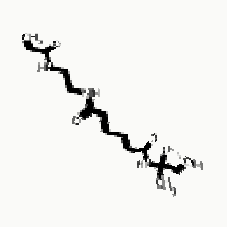 C=CC(=O)NCCNC(=O)/C=C/C=C/C(=O)NC(C)(C)CO